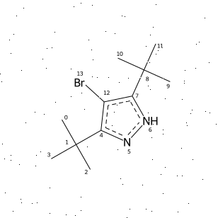 CC(C)(C)c1n[nH]c(C(C)(C)C)c1Br